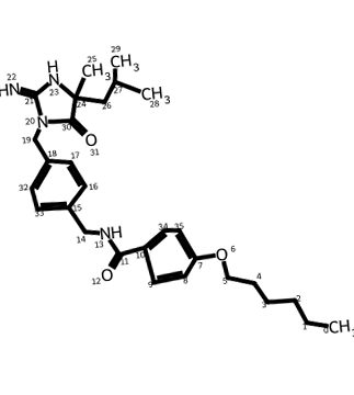 CCCCCCOc1ccc(C(=O)NCc2ccc(CN3C(=N)NC(C)(CC(C)C)C3=O)cc2)cc1